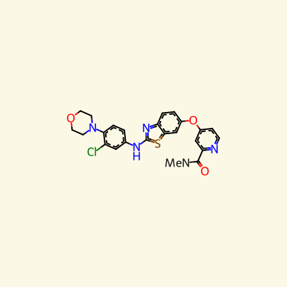 CNC(=O)c1cc(Oc2ccc3nc(Nc4ccc(N5CCOCC5)c(Cl)c4)sc3c2)ccn1